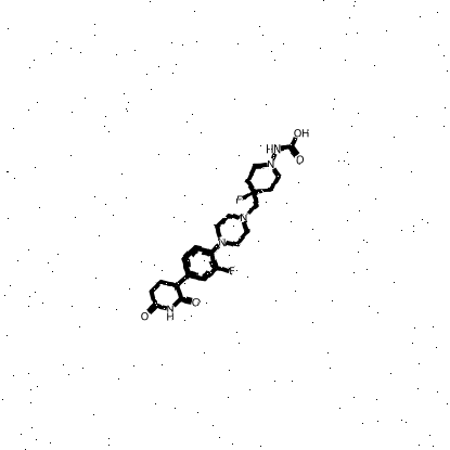 O=C(O)NN1CCC(F)(CN2CCN(c3ccc(C4CCC(=O)NC4=O)cc3F)CC2)CC1